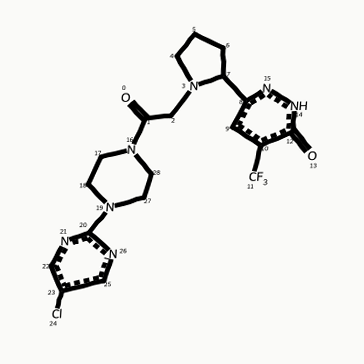 O=C(CN1CCCC1c1cc(C(F)(F)F)c(=O)[nH]n1)N1CCN(c2ncc(Cl)cn2)CC1